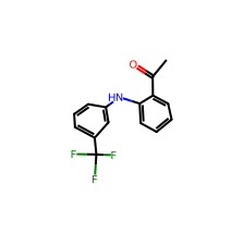 CC(=O)c1ccccc1Nc1cccc(C(F)(F)F)c1